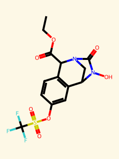 CCOC(=O)C1c2ccc(OS(=O)(=O)C(F)(F)F)cc2C2CN1C(=O)N2O